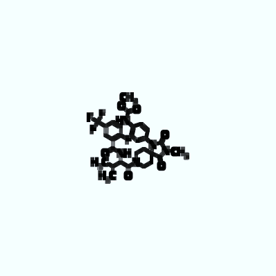 COC(=O)Nc1ccc(N2C(=O)N(C)C(=O)C23CCN(C(=O)C(NC(=O)c2cc(C(F)(F)F)ccc2F)C(C)C)CC3)cc1